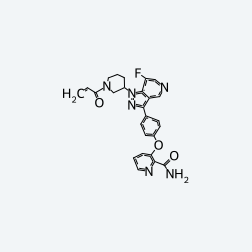 C=CC(=O)N1CCCC(n2nc(-c3ccc(Oc4cccnc4C(N)=O)cc3)c3cncc(F)c32)C1